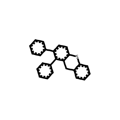 c1ccc(-c2ccc3c(c2-c2ccccc2)Cc2ccccc2S3)cc1